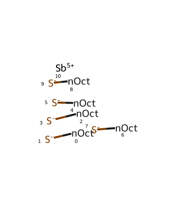 CCCCCCCC[S-].CCCCCCCC[S-].CCCCCCCC[S-].CCCCCCCC[S-].CCCCCCCC[S-].[Sb+5]